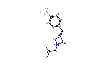 C[C](C)CN1CC(=Cc2ccc(N)cc2)C1